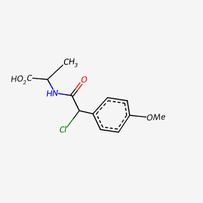 COc1ccc(C(Cl)C(=O)NC(C)C(=O)O)cc1